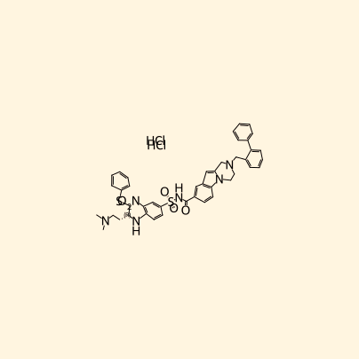 CN(C)CC[C@H](CSc1ccccc1)Nc1ccc(S(=O)(=O)NC(=O)c2ccc3c(c2)cc2n3CCN(Cc3ccccc3-c3ccccc3)C2)cc1[N+](=O)[O-].Cl.Cl